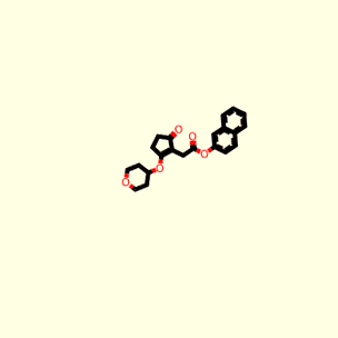 O=C(CC1=C(OC2CCOCC2)CCC1=O)Oc1ccc2ccccc2c1